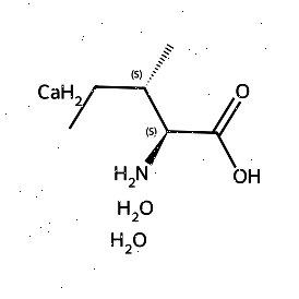 CC[C@H](C)[C@H](N)C(=O)O.O.O.[CaH2]